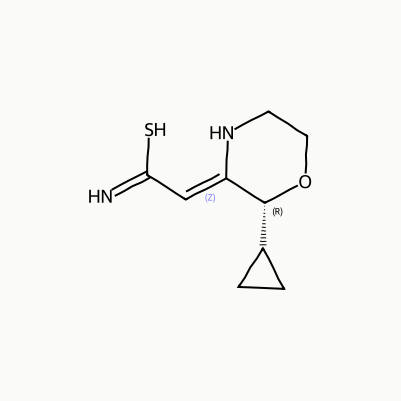 N=C(S)/C=C1\NCCO[C@@H]1C1CC1